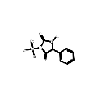 CCN1C(=O)N([Si](CC)(CC)CC)C(=O)C1c1ccccc1